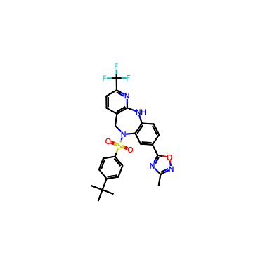 Cc1noc(-c2ccc3c(c2)N(S(=O)(=O)c2ccc(C(C)(C)C)cc2)Cc2ccc(C(F)(F)F)nc2N3)n1